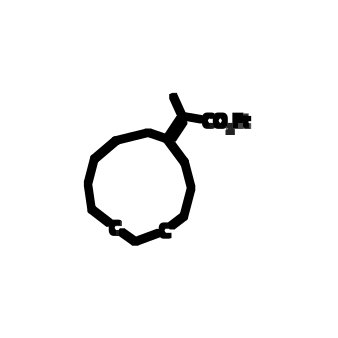 CCOC(=O)C(C)=C1CCCCCCCCCCC1